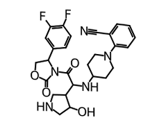 N#Cc1ccccc1N1CCC(NC(C(=O)N2C(=O)OCC2c2ccc(F)c(F)c2)C2CNCC2O)CC1